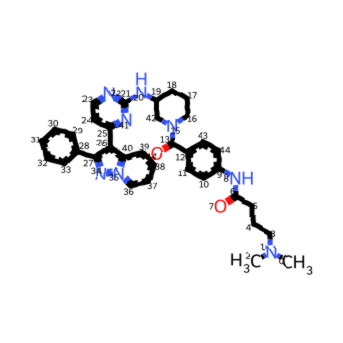 CN(C)CCCC(=O)Nc1ccc(C(=O)N2CCCC(Nc3nccc(-c4c(-c5ccccc5)nn5ccccc45)n3)C2)cc1